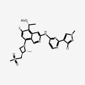 CO[C@H](C)c1c(F)cc(N2C[C@H](CS(C)(=O)=O)[C@H]2C)c2cnc(Nc3ccnc(-c4cn(C)nc4Cl)n3)cc12